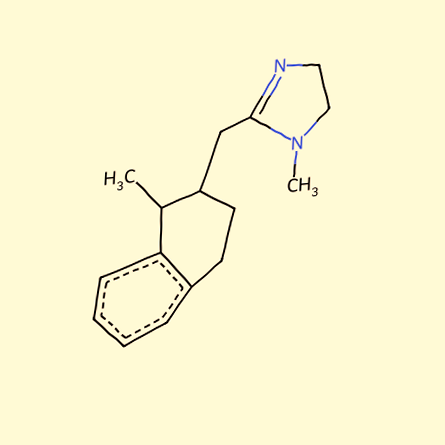 CC1c2ccccc2CCC1CC1=NCCN1C